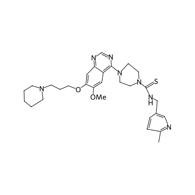 COc1cc2c(N3CCN(C(=S)NCc4ccc(C)nc4)CC3)ncnc2cc1OCCCN1CCCCC1